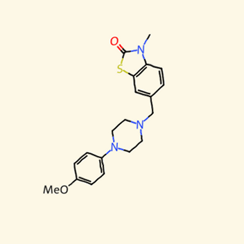 COc1ccc(N2CCN(Cc3ccc4c(c3)sc(=O)n4C)CC2)cc1